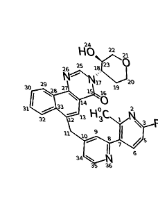 Cc1nc(F)ccc1-c1cc(Cc2cc3c(=O)n([C@H]4CCOC[C@@H]4O)cnc3c3ccccc23)ccn1